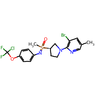 Cc1cnc(N2CC[C@@H](S(C)(=O)=Nc3ccc(OC(F)(F)Cl)cc3)C2)c(Br)c1